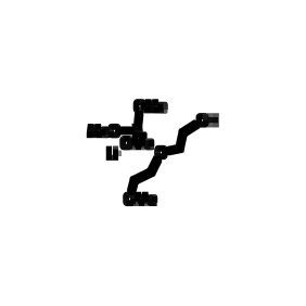 COB(OC)OC.COCCOCCO.[Li]